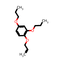 C=CCOc1ccc(OCCC)cc1OCCC